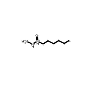 CCCCCC[PH](=O)NN